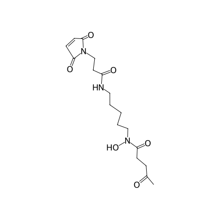 CC(=O)CCC(=O)N(O)CCCCCNC(=O)CCN1C(=O)C=CC1=O